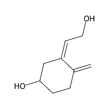 C=C1CCC(O)C/C1=C/CO